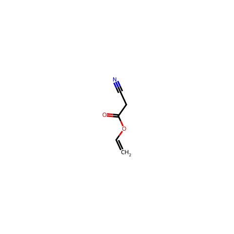 C=COC(=O)CC#N